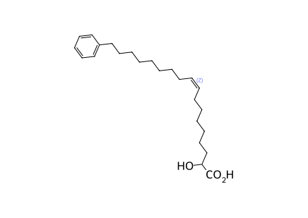 O=C(O)C(O)CCCCCC/C=C\CCCCCCCCc1ccccc1